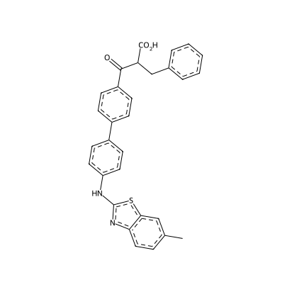 Cc1ccc2nc(Nc3ccc(-c4ccc(C(=O)C(Cc5ccccc5)C(=O)O)cc4)cc3)sc2c1